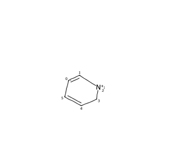 [C]1=C[N+]CC=C1